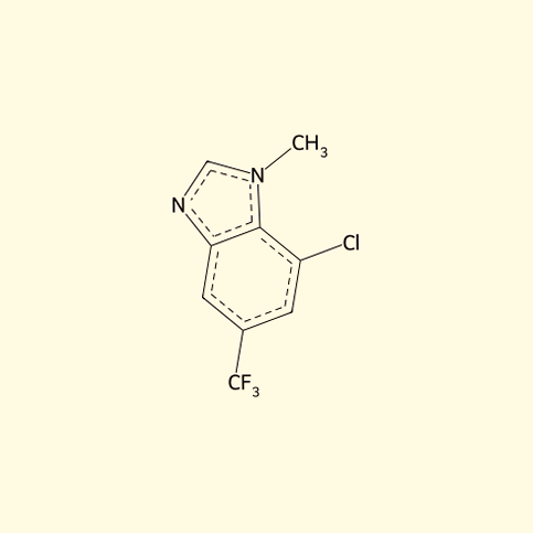 Cn1cnc2cc(C(F)(F)F)cc(Cl)c21